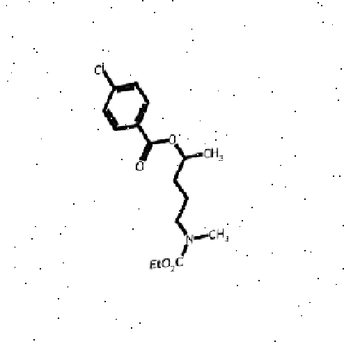 CCOC(=O)N(C)CCCC(C)OC(=O)c1ccc(Cl)cc1